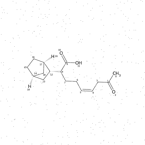 CC(=O)C/C=C\CCC(C(=O)O)[C@@H]1C[C@H]2CC[C@@H]1C2